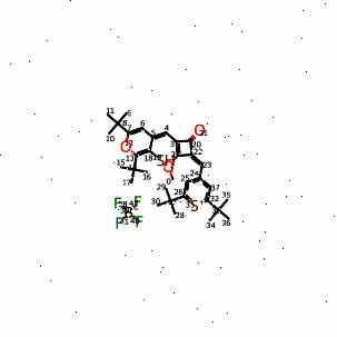 COC1=C(C=C2C=C(C(C)(C)C)OC(C(C)(C)C)=C2S)C(=O)C1=Cc1cc(C(C)(C)C)[s+]c(C(C)(C)C)c1.F[B-](F)(F)F